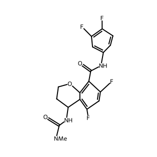 CNC(=O)NC1CCOc2c(C(=O)Nc3ccc(F)c(F)c3)c(F)cc(F)c21